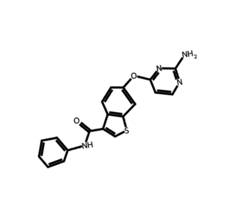 Nc1nccc(Oc2ccc3c(C(=O)Nc4ccccc4)csc3c2)n1